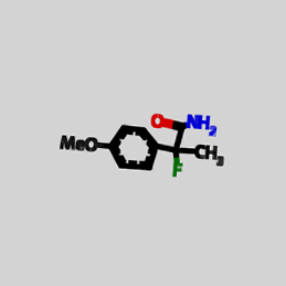 COc1ccc(C(C)(F)C(N)=O)cc1